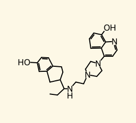 CCC(NCCN1CCN(c2ccnc3c(O)cccc23)CC1)C1CCc2ccc(O)cc2C1